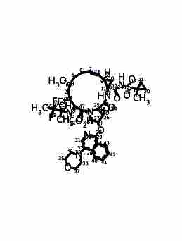 CC[C@@H]1C[C@H](C)CC/C=C\[C@@H]2C[C@@]2(C(=O)NS(=O)(=O)C2(C)CC2)NC(=O)[C@@H]2C[C@@H](Oc3ncc(N4CCOCC4)c4ccccc34)CN2C(=O)[C@H]1N(C(=O)O)C(C)(C)C(C)(F)F